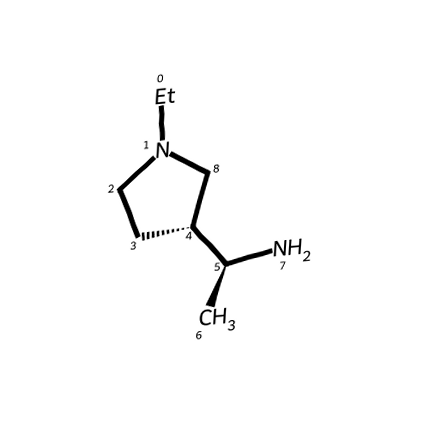 CCN1CC[C@@H]([C@H](C)N)C1